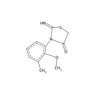 COc1c(C)cccc1N1C(=N)SCC1=O